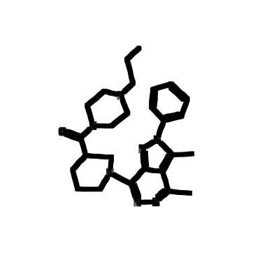 CCCN1CCN(C(=O)C2CCCN(c3nnc(C)c4c(C)n(-c5ccccc5)nc34)C2)CC1